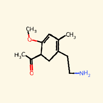 COC1=CC(C)=C(CCN)CC1C(C)=O